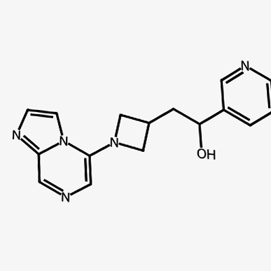 OC(CC1CN(c2cncc3nccn23)C1)c1cccnc1